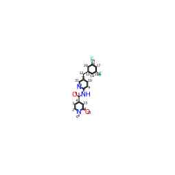 Cn1ccc(C(=O)Nc2ccc(Cc3cc(F)cc(F)c3)cn2)cc1=O